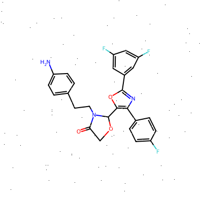 Nc1ccc(CCN2C(=O)COC2c2oc(-c3cc(F)cc(F)c3)nc2-c2ccc(F)cc2)cc1